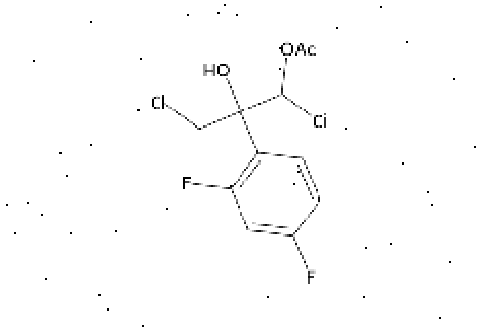 CC(=O)OC(Cl)C(O)(CCl)c1ccc(F)cc1F